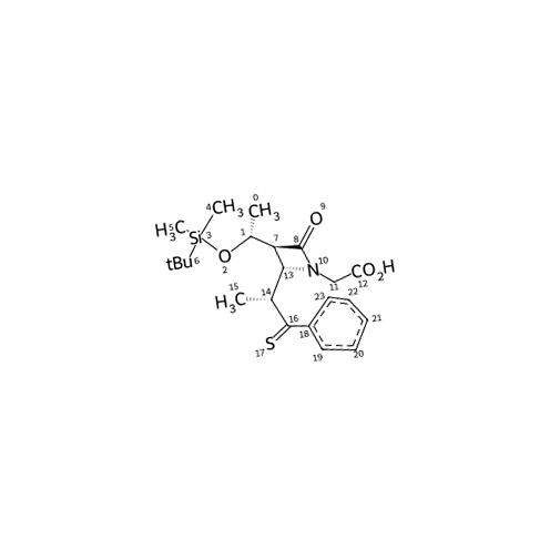 C[C@@H](O[Si](C)(C)C(C)(C)C)[C@H]1C(=O)N(CC(=O)O)[C@@H]1[C@@H](C)C(=S)c1ccccc1